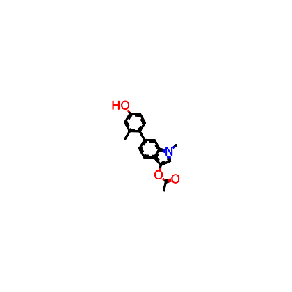 CC(=O)Oc1cn(C)c2cc(-c3ccc(O)cc3C)ccc12